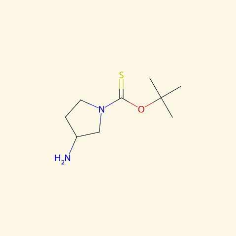 CC(C)(C)OC(=S)N1CCC(N)C1